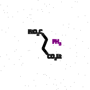 CCOC(=O)CCC(=O)OCC.P